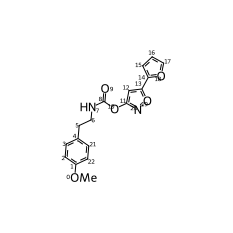 COc1ccc(CCNC(=O)Oc2cc(-c3ccco3)on2)cc1